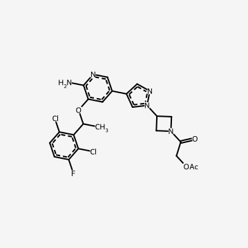 CC(=O)OCC(=O)N1CC(n2cc(-c3cnc(N)c(OC(C)c4c(Cl)ccc(F)c4Cl)c3)cn2)C1